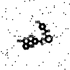 O=C(N[C@H]1COCCC[C@@H]1OC(=O)c1cc(O)c(C(=O)c2c(O)cccc2C(=O)O)c(O)c1)c1ccc(O)cc1